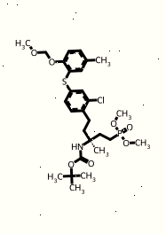 COCOc1ccc(C)cc1Sc1ccc(CC[C@@](C)(CCP(=O)(OC)OC)NC(=O)OC(C)(C)C)c(Cl)c1